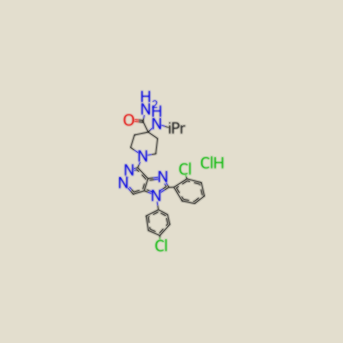 CC(C)NC1(C(N)=O)CCN(c2nncc3c2nc(-c2ccccc2Cl)n3-c2ccc(Cl)cc2)CC1.Cl